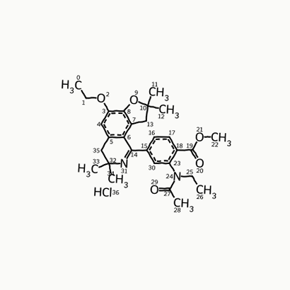 CCOc1cc2c(c3c1OC(C)(C)C3)C(c1ccc(C(=O)OC)c(N(CC)C(C)=O)c1)=NC(C)(C)C2.Cl